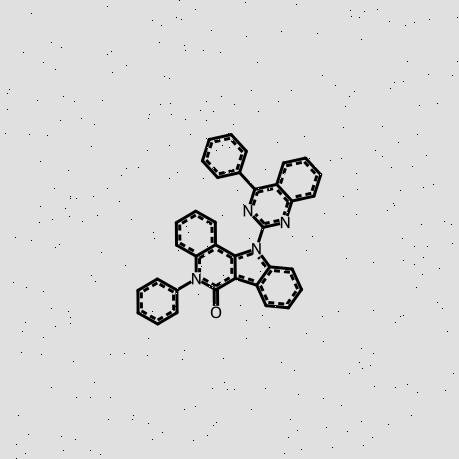 O=c1c2c3ccccc3n(-c3nc(-c4ccccc4)c4ccccc4n3)c2c2ccccc2n1-c1ccccc1